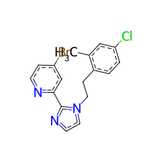 Cc1cc(Cl)ccc1CCn1ccnc1-c1cc(Br)ccn1